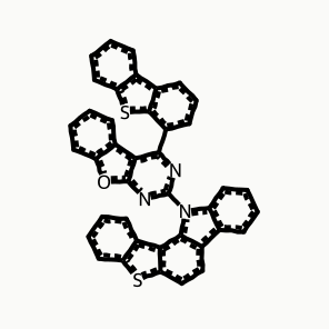 c1ccc2c(c1)oc1nc(-n3c4ccccc4c4ccc5sc6ccccc6c5c43)nc(-c3cccc4c3sc3ccccc34)c12